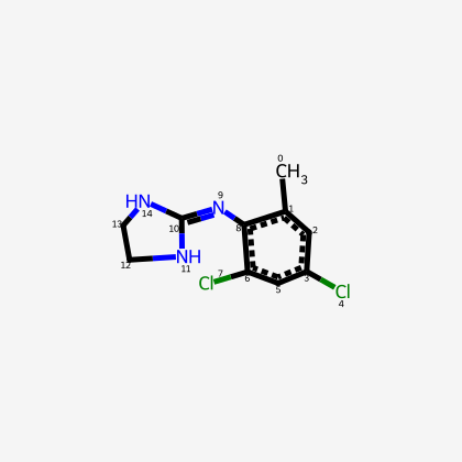 Cc1cc(Cl)cc(Cl)c1N=C1NCCN1